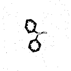 [Na][Sb]([c]1ccccc1)[c]1ccccc1